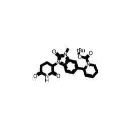 Cn1c(=O)n(C2CCC(=O)NC2=O)c2ccc(C3C=CCCN3C(=O)OC(C)(C)C)cc21